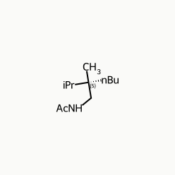 CCCC[C@](C)(CNC(C)=O)C(C)C